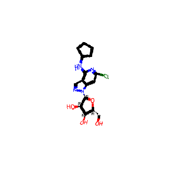 OC[C@H]1O[C@@H](n2ncc3c(NC4CCCC4)nc(Cl)cc32)[C@H](O)[C@@H]1O